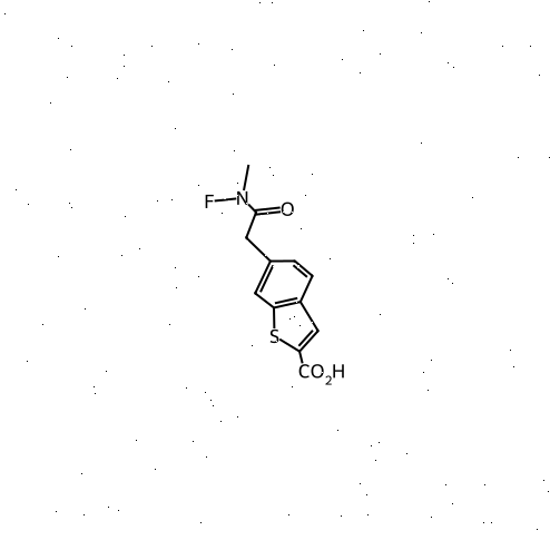 CN(F)C(=O)Cc1ccc2cc(C(=O)O)sc2c1